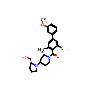 Cc1cc(-c2cccc(OC(F)(F)F)c2)cc(C)c1C(=O)N1CCC(N2CCC[C@H]2CO)CC1